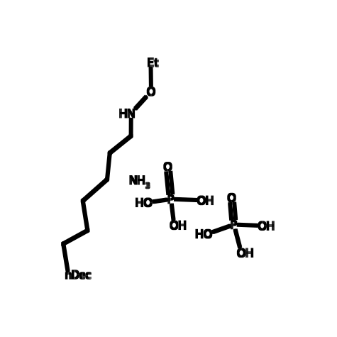 CCCCCCCCCCCCCCCCNOCC.N.O=P(O)(O)O.O=P(O)(O)O